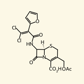 CC(=O)OCC1=C(C(=O)O)N2C(=O)C(NC(=O)C(=C(Cl)Cl)c3ccco3)[C@H]2SC1